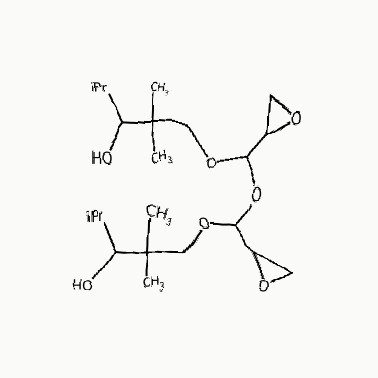 CC(C)C(O)C(C)(C)COC(OC(OCC(C)(C)C(O)C(C)C)C1CO1)C1CO1